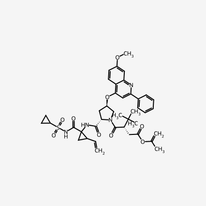 C=CC1CC1(NC(=O)[C@@H]1C[C@@H](Oc2cc(-c3ccccc3)nc3cc(OC)ccc23)CN1C(=O)[C@@H](CC(=O)OC(=C)C)C(C)(C)C)C(=O)NS(=O)(=O)C1CC1